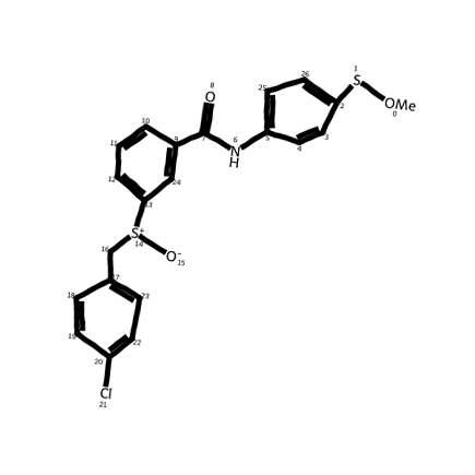 COSc1ccc(NC(=O)c2cccc([S+]([O-])Cc3ccc(Cl)cc3)c2)cc1